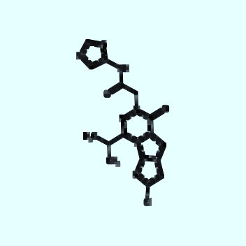 CC(C)c1nn(CC(=O)Nc2cncs2)c(=O)c2cc3cc(Cl)sc3n12